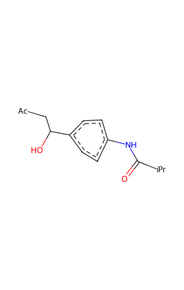 CC(=O)CC(O)c1ccc(NC(=O)C(C)C)cc1